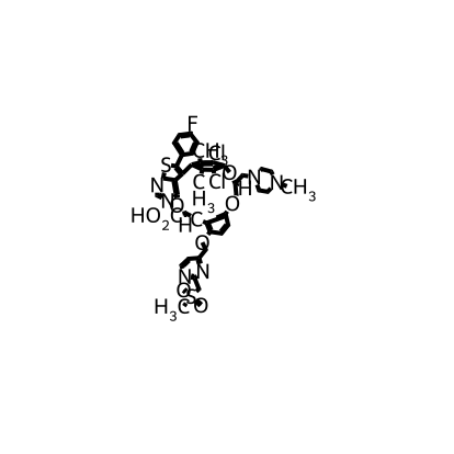 Cc1c(Cl)c2c(Cl)c(C)c1-c1c(-c3ccc(F)cc3)sc3ncnc(c13)O[C@@H](C(=O)O)Cc1cc(ccc1OCc1ccnc(CS(C)(=O)=O)n1)OC[C@@H](CN1CCN(C)CC1)O2